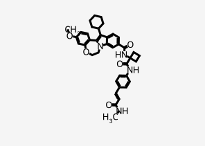 CNC(=O)C=Cc1ccc(NC(=O)C2(NC(=O)c3ccc4c(C5CCCCC5)c5n(c4c3)CCOc3cc(OC)ccc3-5)CCC2)cc1